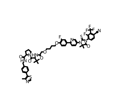 Cc1ncsc1-c1ccc(CNC(=O)C2CCCN2C(=O)C(NC(=O)COCCCCOc2ccc(-c3ccc(N4C(=S)N(c5ccc(C#N)c(C(F)(F)F)c5F)C(=O)C4(C)C)cn3)cc2F)C(C)(C)C)cc1